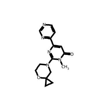 Cn1c(N2CCOC3(CC3)C2)nc(-c2ccncn2)cc1=O